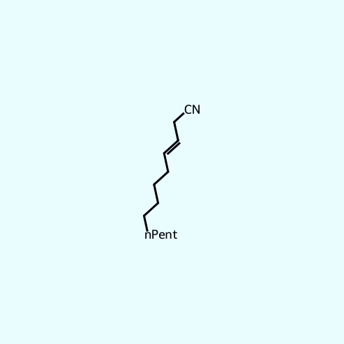 CCCCCCCCCC=CCC#N